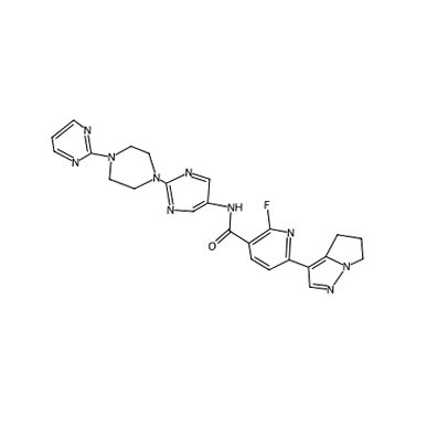 O=C(Nc1cnc(N2CCN(c3ncccn3)CC2)nc1)c1ccc(-c2cnn3c2CCC3)nc1F